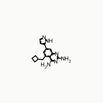 Nc1nc(N)c2c(CC3CCC3)cc(-c3ccn[nH]3)cc2n1